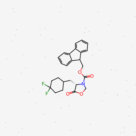 O=C1OCN(C(=O)OCC2c3ccccc3-c3ccccc32)[C@H]1CC1CCC(F)(F)CC1